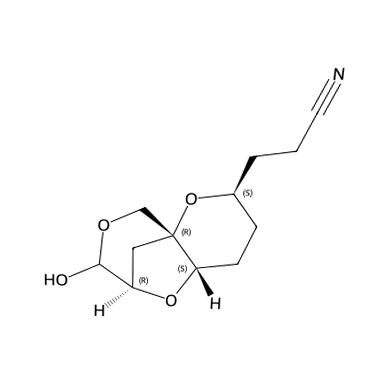 N#CCC[C@H]1CC[C@@H]2O[C@@H]3C[C@]2(COC3O)O1